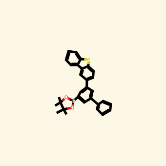 CC1(C)OB(c2cc(-c3ccccc3)cc(-c3ccc4sc5ccccc5c4c3)c2)OC1(C)C